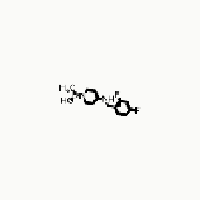 CB(O)N1CCC(NCc2ccc(F)cc2F)CC1